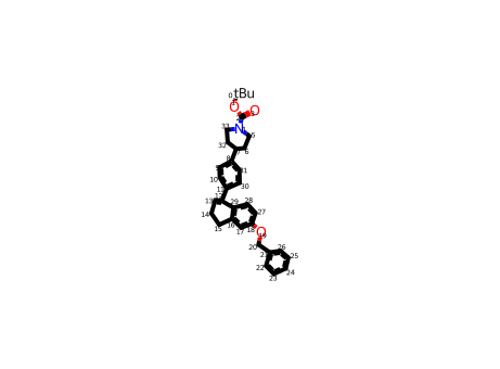 CC(C)(C)OC(=O)N1CCC(c2ccc(C3=CCCc4cc(OCc5ccccc5)ccc43)cc2)CC1